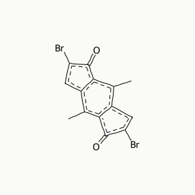 Cc1c2cc(Br)c(=O)c2c(C)c2cc(Br)c(=O)c12